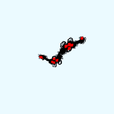 O=C1c2ccc(C#Cc3ccccc3)cc2C(=O)N1CN1C(=O)c2ccc(Cc3ccc4c(c3)C(=O)N(CN3C(=O)c5ccc(C#Cc6ccccc6)cc5C3=O)C4=O)cc2C1=O